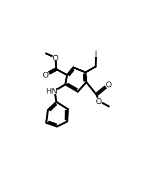 COC(=O)c1cc(Nc2ccccc2)c(C(=O)OC)cc1CI